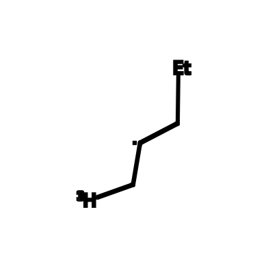 [3H]C[CH]CCC